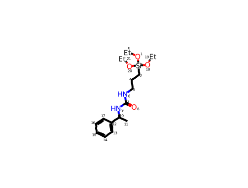 CCO[Si](CCCNC(=O)NC(C)c1ccccc1)(OCC)OCC